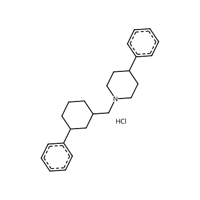 Cl.c1ccc(C2CCN(CC3CCCC(c4ccccc4)C3)CC2)cc1